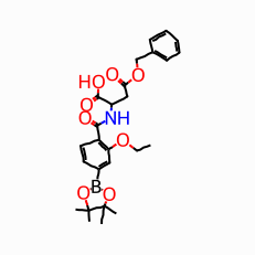 CCOc1cc(B2OC(C)(C)C(C)(C)O2)ccc1C(=O)NC(CC(=O)OCc1ccccc1)C(=O)O